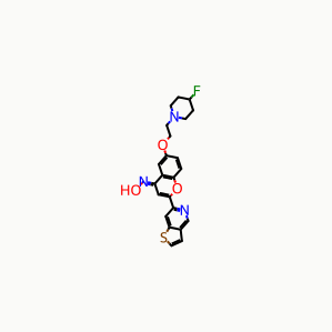 ON=c1cc(-c2cc3sccc3cn2)oc2ccc(OCCN3CCC(F)CC3)cc12